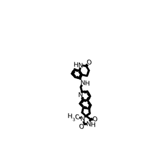 CN1C(=O)NC(=O)C12Cc1cc3ccc(CNc4cccc5c4CCC(=O)N5)nc3cc1C2